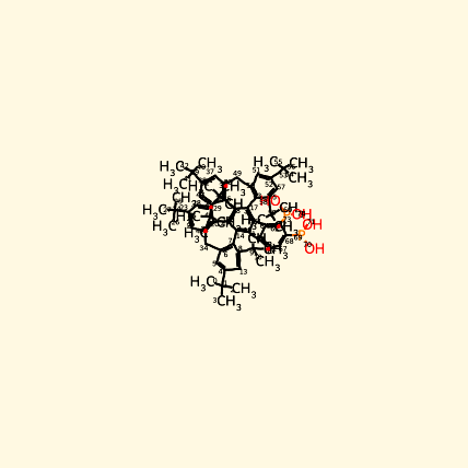 CC(C)(C)c1cc2c(c(C(C)(C)C)c1)-c1c3c(c4c(c1-c1c(cc(C(C)(C)C)cc1C(C)(C)C)C2)-c1c(cc(C(C)(C)C)cc1C(C)(C)C)Cc1cc(C(C)(C)C)cc(C(C)(C)C)c1-4)-c1c-3ccc(P(O)O)c1P(O)O